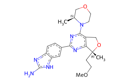 COCC[C@@]1(C)OCc2c(N3CCOC[C@@H]3C)nc(-c3ccc4nc(N)[nH]c4c3)nc21